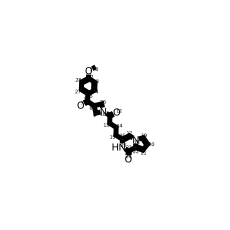 COc1ccc(C(=O)C2CN(C(=O)CCCc3cn4cccc4c(=O)[nH]3)C2)cc1